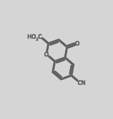 N#Cc1ccc2oc(C(=O)O)cc(=O)c2c1